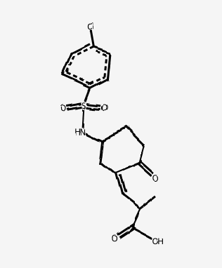 CC(/C=C1/CC(NS(=O)(=O)c2ccc(Cl)cc2)CCC1=O)C(=O)O